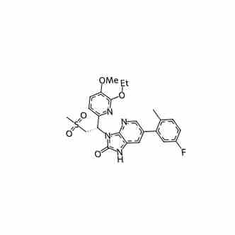 CCOc1nc([C@@H](CS(C)(=O)=O)n2c(=O)[nH]c3cc(-c4cc(F)ccc4C)cnc32)ccc1OC